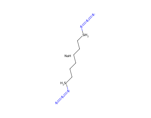 [N-]=[N+]=N[SiH2]CCCCCC[SiH2]N=[N+]=[N-].[NaH]